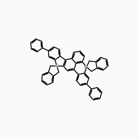 c1ccc(-c2ccc3c(c2)[Si]2(Cc4ccccc4C2)c2cc4c5c(cccc5c2-3)[Si]2(Cc3ccccc3C2)c2cc(-c3ccccc3)ccc2-4)cc1